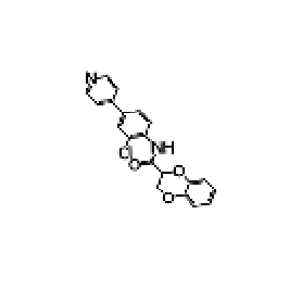 O=C(Nc1ccc(-c2ccncc2)cc1Cl)C1COc2ccccc2O1